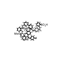 COC(=O)[C@@H](Cc1ccccc1OCc1ccnc(-c2ccccc2OC)n1)Oc1ncnc2sc(-c3ccc(F)cc3)c(-c3ccc(OCCN4CC[N+](C)(Cc5ccccc5S(=O)(=O)O)CC4)c(Cl)c3C)c12